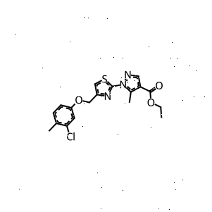 CCOC(=O)c1cnn(-c2nc(COc3ccc(C)c(Cl)c3)cs2)c1C